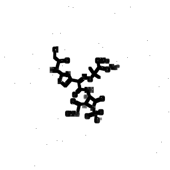 COC(=O)[C@H]1[C@@H](NC(=O)C(=NOC(C)(C)C(=O)OC)c2csc(NC(=O)CCl)n2)C(=O)N1S(=O)(=O)[O-].[Na+]